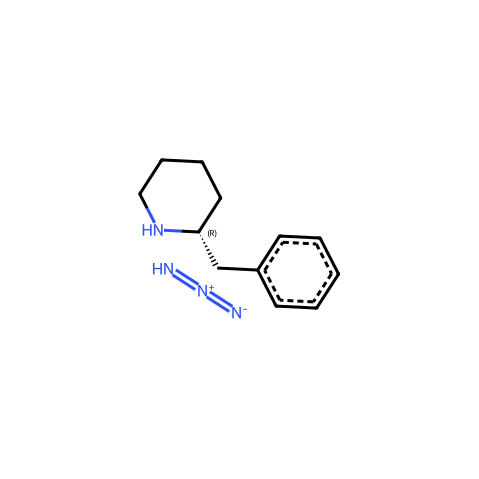 [N-]=[N+]=N.c1ccc(C[C@H]2CCCCN2)cc1